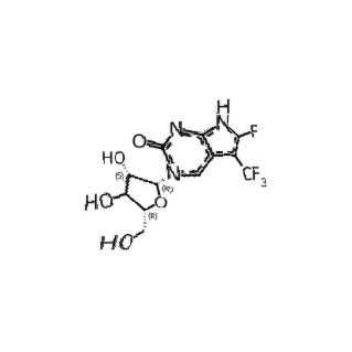 O=c1nc2[nH]c(F)c(C(F)(F)F)c2cn1[C@@H]1O[C@H](CO)C(O)[C@@H]1O